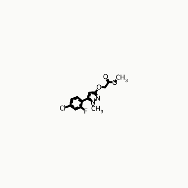 COC(=O)COc1cc(-c2ccc(Cl)cc2F)n(C)n1